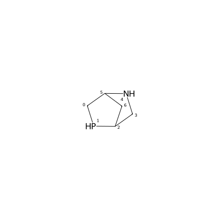 C1PC2CNC1C2